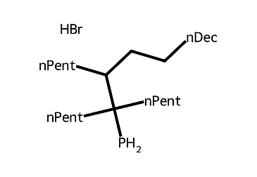 Br.CCCCCCCCCCCCC(CCCCC)C(P)(CCCCC)CCCCC